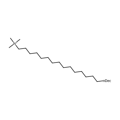 CCCCCCCCCCCCCCCCCCCCCCCCC[N+](C)(C)C